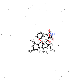 C=CC1(C)C=C(C)C2C3(C)CC(C)CC(C)C3CC23Oc2ccc(cc2)CC24OC2(C(=O)NC4=O)C(=O)C13